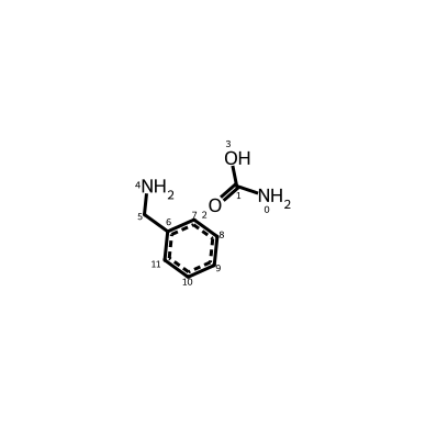 NC(=O)O.NCc1ccccc1